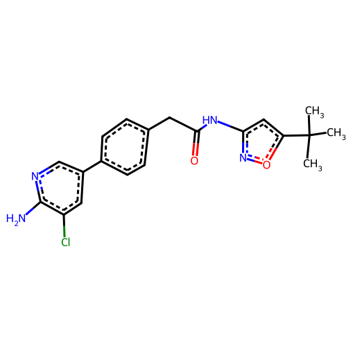 CC(C)(C)c1cc(NC(=O)Cc2ccc(-c3cnc(N)c(Cl)c3)cc2)no1